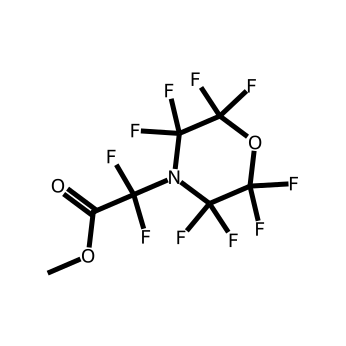 COC(=O)C(F)(F)N1C(F)(F)C(F)(F)OC(F)(F)C1(F)F